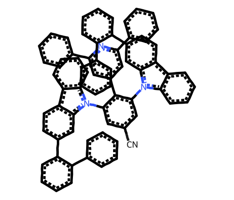 N#Cc1cc(-n2c3ccccc3c3ccc(-c4ccccc4-c4ccccc4)cc32)c(-c2cc(-c3ccccc3)nc(-c3ccccc3)c2)c(-n2c3ccccc3c3ccc(-c4ccccc4-c4ccccc4)cc32)c1